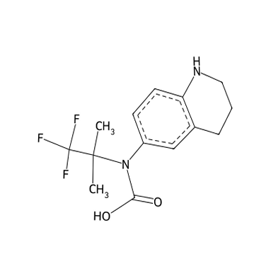 CC(C)(N(C(=O)O)c1ccc2c(c1)CCCN2)C(F)(F)F